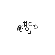 CN(C)S(=O)(=O)N1Cc2cc(Cl)ccc2-n2c(nnc2[C@H]2CC[C@H](Oc3ccccc3)CC2)C1